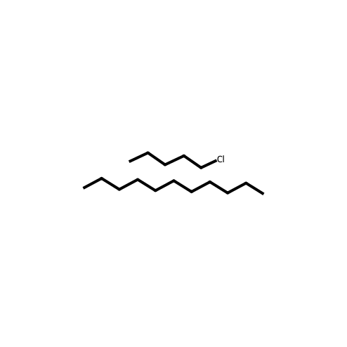 CCCCCCCCCCC.CCCCCCl